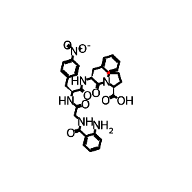 Nc1ccccc1C(=O)NCC(=O)N[C@@H](Cc1ccc([N+](=O)[O-])cc1)C(=O)N[C@@H](Cc1ccccc1)C(=O)N1CCC[C@H]1C(=O)O